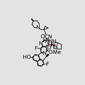 C#Cc1c(F)ccc2cc(O)cc(-c3nc(OC)c4c(N5CC6CCC(C5)N6C(=O)NC(C)C#N)nc(OCC5(CN6CCC(=C)CC6)CC5)nc4c3F)c12